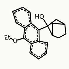 CCOc1c2ccccc2c(C2(O)CC3CCC2C3)c2ccccc12